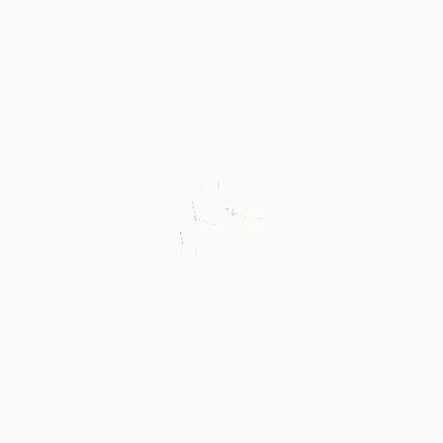 CCC(CC)CNO